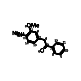 COc1cc(CC(=O)c2ccccc2)ccc1[N+]#N